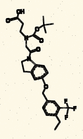 CCc1ccc(COc2ccc3c(c2)CCN3C(=O)CN(CCC(=O)O)C(=O)OC(C)(C)C)cc1C(F)(F)F